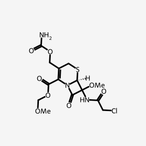 COCOC(=O)C1=C(COC(N)=O)CS[C@@H]2N1C(=O)C2(NC(=O)CCl)OC